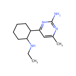 CCNC1CCCCC1c1cc(C)nc(N)n1